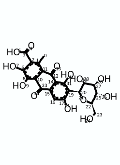 Cc1c(C(=O)O)c(O)c(O)c2c1C(=O)c1c(cc(O)c([C@@H]3O[C@H](CO)[C@@H](O)[C@H](O)[C@H]3O)c1O)C2=O